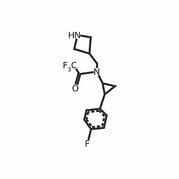 O=C(N(CC1CNC1)C1CC1c1ccc(F)cc1)C(F)(F)F